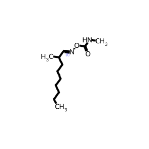 CCCCCCCC(C)/C=N/OC(=O)NC